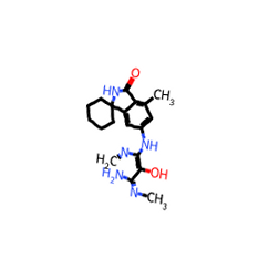 C=N/C(Nc1cc(C)c2c(c1)C1(CCCCC1)NC2=O)=C(O)\C(N)=N/C